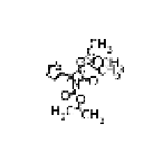 CC[Si](CC)(CC)O[C@H]1C(=O)N(C(=O)OC(C)C)[C@H]1c1cccs1